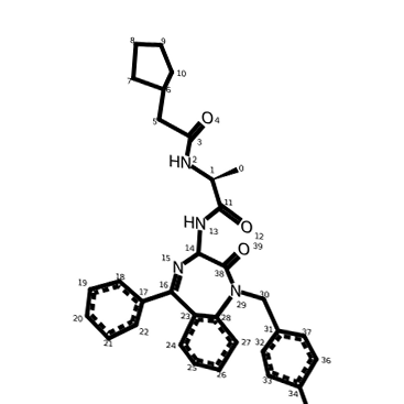 C[C@H](NC(=O)CC1CCCC1)C(=O)NC1N=C(c2ccccc2)c2ccccc2N(Cc2ccc(C(C)(C)C)cc2)C1=O